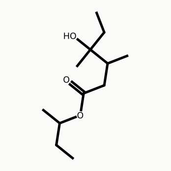 CCC(C)OC(=O)CC(C)C(C)(O)CC